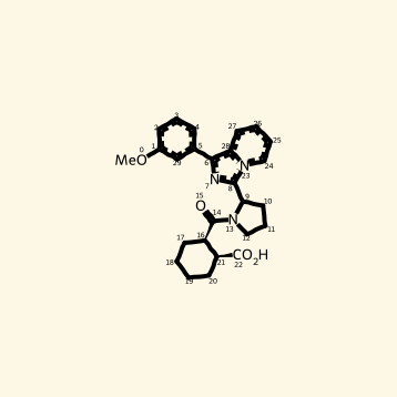 COc1cccc(-c2nc(C3CCCN3C(=O)[C@@H]3CCCC[C@@H]3C(=O)O)n3ccccc23)c1